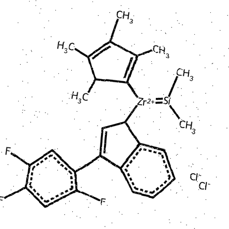 CC1=C(C)C(C)[C]([Zr+2]([CH]2C=C(c3cc(F)c(F)cc3F)c3ccccc32)=[Si](C)C)=C1C.[Cl-].[Cl-]